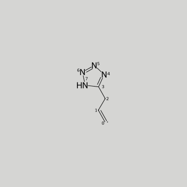 [CH]=CCc1nnn[nH]1